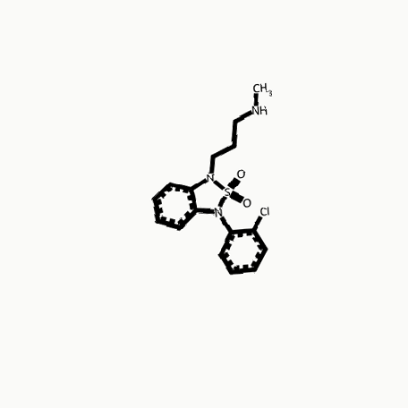 CNCCCN1c2ccccc2N(c2ccccc2Cl)S1(=O)=O